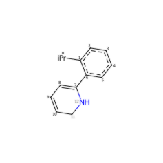 CC(C)c1ccccc1C1=CC=CCN1